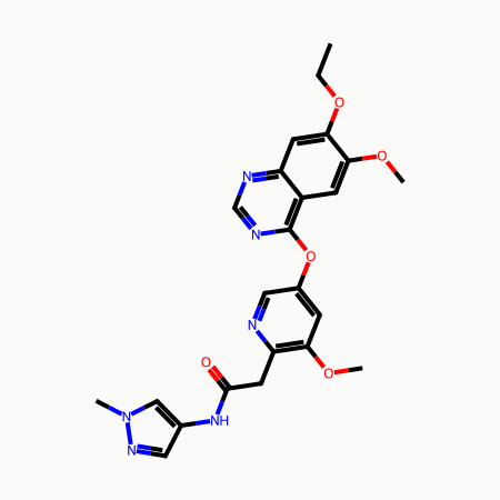 CCOc1cc2ncnc(Oc3cnc(CC(=O)Nc4cnn(C)c4)c(OC)c3)c2cc1OC